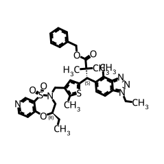 CC[C@@H]1CN(Cc2cc([C@@H](c3ccc4c(nnn4CC)c3C)C(C)(C)C(=O)OCc3ccccc3)sc2C)S(=O)(=O)c2cnccc2O1